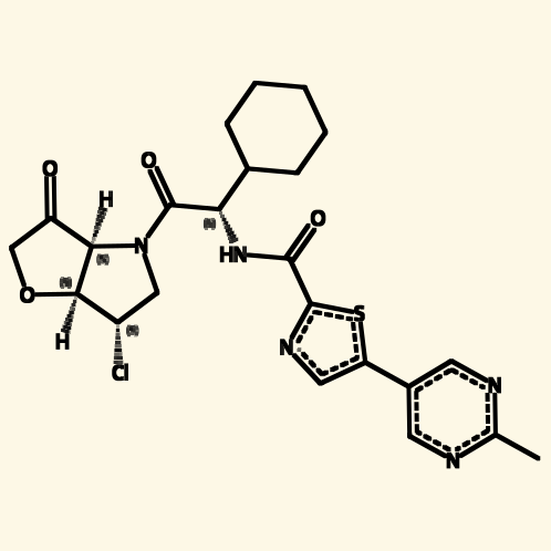 Cc1ncc(-c2cnc(C(=O)N[C@H](C(=O)N3C[C@H](Cl)[C@H]4OCC(=O)[C@H]43)C3CCCCC3)s2)cn1